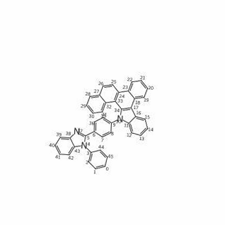 c1ccc(-n2c(-c3ccc(-n4c5ccccc5c5c6ccccc6c6ccc7ccccc7c6c54)cc3)nc3ccccc32)cc1